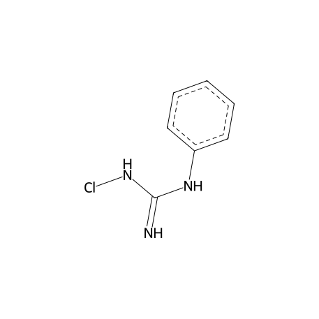 N=C(NCl)Nc1ccccc1